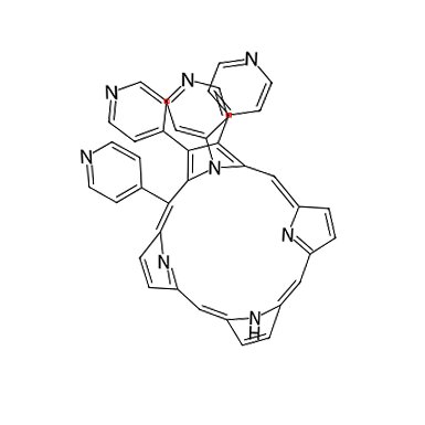 C1=Cc2cc3c(-c4ccncc4)c(-c4ccncc4)c(c(-c4ccncc4)c4nc(cc5ccc(cc1n2)[nH]5)C=C4)n3-c1ccncc1